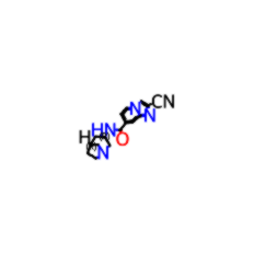 N#Cc1cn2ccc(C(=O)N[C@@H]3C[C@H]4CCN(C4)C3)cc2n1